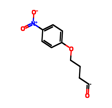 O=[C]CCCOc1ccc([N+](=O)[O-])cc1